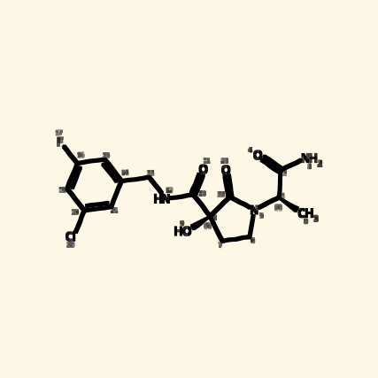 C[C@H](C(N)=O)N1CC[C@](O)(C(=O)NCc2cc(F)cc(Cl)c2)C1=O